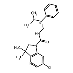 CN(C)[C@@H](CNC(=O)N1CC(C)(C)c2ncc(Cl)cc21)c1ccccc1